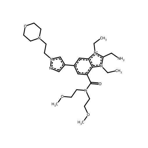 CCn1c(CN)[n+](CC)c2cc(-c3cnn(CCN4CCOCC4)c3)cc(C(=O)N(CCOC)CCOC)c21